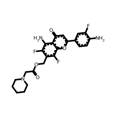 Nc1ccc(-c2cc(=O)c3c(N)c(F)c(COC(=O)CN4CCCCC4)c(F)c3o2)cc1F